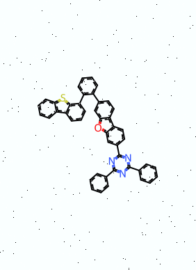 c1ccc(-c2nc(-c3ccccc3)nc(-c3ccc4c(c3)oc3cc(-c5ccccc5-c5cccc6c5sc5ccccc56)ccc34)n2)cc1